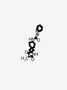 CN1C(=O)NC2(CC3(CCC(NC(=O)NCc4ccccc4)CC3)C2)C1=O